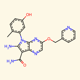 Cc1ccc(O)cc1-n1c(N)c(C(N)=O)c2ncc(OCc3cccnc3)nc21